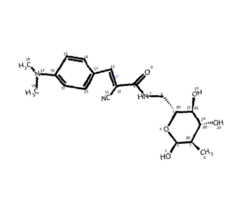 C[C@H]1C(O)O[C@H](CNC(=O)/C(C#N)=C/c2ccc(N(C)C)cc2)[C@@H](O)[C@@H]1O